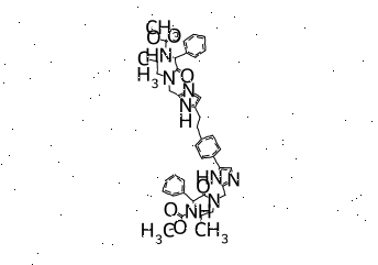 CCCN(Cc1ncc(CCc2ccc(-c3cnc(CN(CCC)C(=O)[C@H](NC(=O)OC)c4ccccc4)[nH]3)cc2)[nH]1)C(=O)[C@H](NC(=O)OC)c1ccccc1